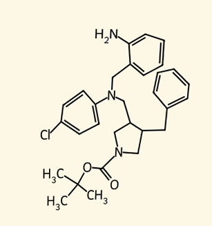 CC(C)(C)OC(=O)N1CC(Cc2ccccc2)C(CN(Cc2ccccc2N)c2ccc(Cl)cc2)C1